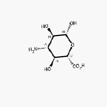 N[C@@H]1[C@@H](O)[C@H](O)O[C@H](C(=O)O)[C@H]1O